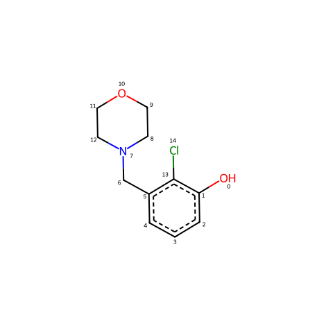 Oc1cccc(CN2CCOCC2)c1Cl